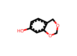 Oc1ccc2c(c1)OCOC2